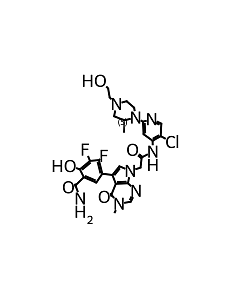 C[C@H]1CN(CCO)CCN1c1cc(NC(=O)Cn2cc(-c3cc(C(N)=O)c(O)c(F)c3F)c3c(=O)n(C)cnc32)c(Cl)cn1